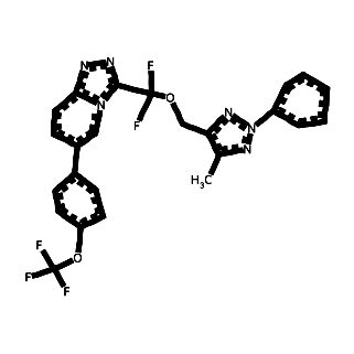 Cc1nn(-c2ccccc2)nc1COC(F)(F)c1nnc2ccc(-c3ccc(OC(F)(F)F)cc3)cn12